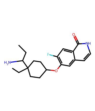 CCC(N)C1(CC)CCC(Oc2cc3cc[nH]c(=O)c3cc2F)CC1